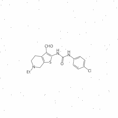 CCN1CCc2c(sc(NC(=O)Nc3ccc(Cl)cc3)c2C=O)C1